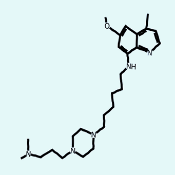 COc1cc(NCCCCCCN2CCN(CCCN(C)C)CC2)c2nccc(C)c2c1